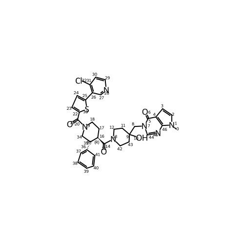 Cn1ccc2c(=O)n(CC3(O)CCN(C(=O)[C@@H]4CCN(C(=O)c5ccc(-c6cnccc6Cl)s5)C[C@H]4c4ccccc4)CC3)cnc21